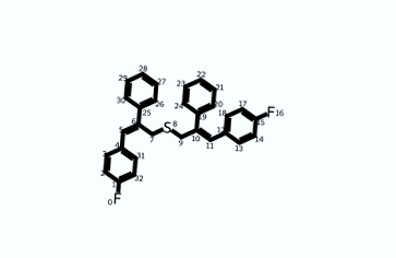 Fc1ccc(C=C(CSCC(=Cc2ccc(F)cc2)c2ccccc2)c2ccccc2)cc1